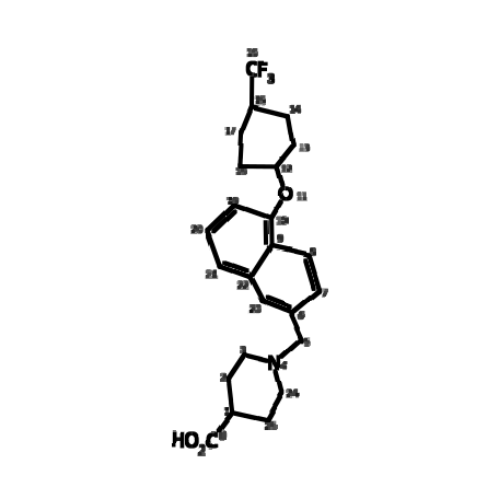 O=C(O)C1CCN(Cc2ccc3c(OC4CCC(C(F)(F)F)CC4)cccc3c2)CC1